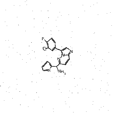 NC(c1ccccn1)c1ccc2ncc(-c3ccc(F)c(Cl)c3)n2n1